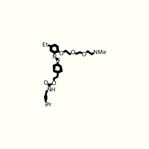 CCc1ccc(OCCOCCOCCNC)c(/N=N/c2ccc(CCOC(=O)NCC#CC(C)C)cc2)c1